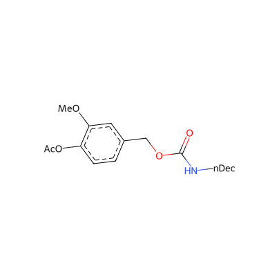 CCCCCCCCCCNC(=O)OCc1ccc(OC(C)=O)c(OC)c1